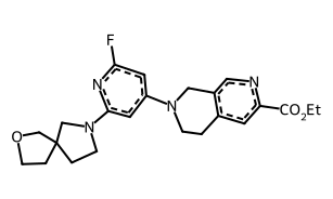 CCOC(=O)c1cc2c(cn1)CN(c1cc(F)nc(N3CCC4(CCOC4)C3)c1)CC2